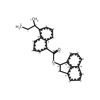 CCC(C)c1cccc2c(C(=O)OC3Cc4cccc5cccc3c45)cccc12